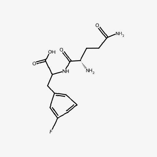 NC(=O)CC[C@H](N)C(=O)NC(Cc1cccc(F)c1)C(=O)O